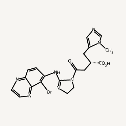 Cn1cncc1C[C@@H](CC(=O)N1CCN=C1Nc1ccc2nccnc2c1Br)C(=O)O